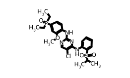 CCP(=O)(CC)c1ccc(Nc2ncc(Cl)c(Nc3ccccc3S(=O)(=O)C(C)C)n2)c(OC)c1